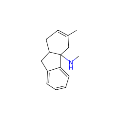 CNC12CC(C)=CCC1Cc1ccccc12